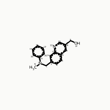 CN(Cc1ccc2cc(CO)cnc2c1)c1ccccc1